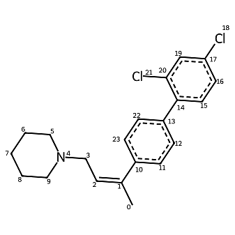 CC(=CCN1CCCCC1)c1ccc(-c2ccc(Cl)cc2Cl)cc1